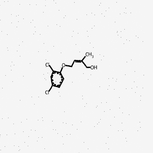 CC(=CCOc1ccc(Cl)cc1Cl)CO